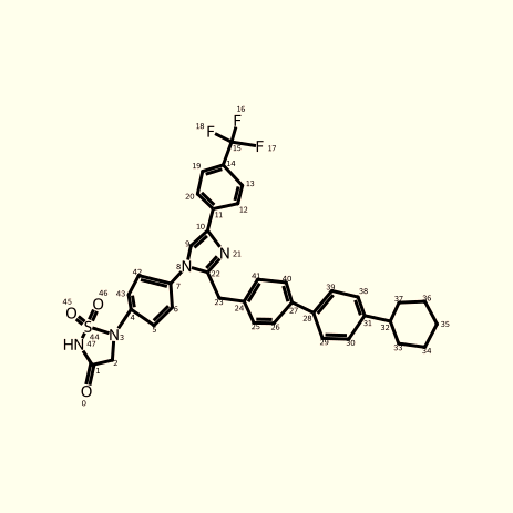 O=C1CN(c2ccc(-n3cc(-c4ccc(C(F)(F)F)cc4)nc3Cc3ccc(-c4ccc(C5CCCCC5)cc4)cc3)cc2)S(=O)(=O)N1